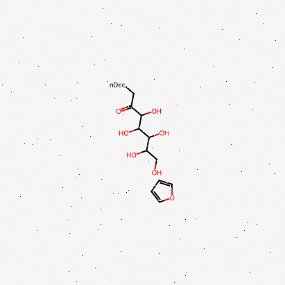 CCCCCCCCCCCC(=O)C(O)C(O)C(O)C(O)CO.c1ccoc1